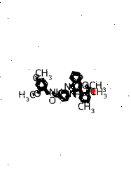 COc1ccc(CNC(=O)c2ccc3nc4c5c(c6ccccc6c4nc3c2)OC(C)(C)[C@@H]2CC[C@@H](C)C[C@@H]52)c(OC)c1